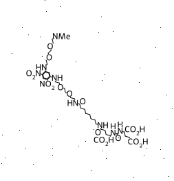 CNCCOCCOCCNc1cc(NCCOCCOCCNC(=O)CCCCCCCNC(=O)CCC(NC(=O)NC(CCC(=O)O)C(=O)O)C(=O)O)c([N+](=O)[O-])cc1[N+](=O)[O-]